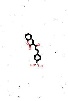 O=C(/C=C/c1ccc(B(O)O)cc1)c1cc2ccccc2oc1=O